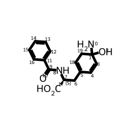 NC1(O)C=CC(C[C@H](NC(=O)c2ccccc2)C(=O)O)=CC1